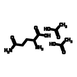 CC(=O)O.CC(=O)O.NC(=O)CCC(N)C(=O)O